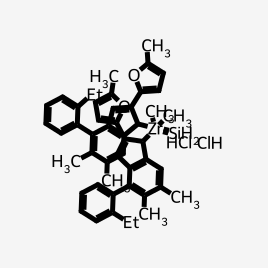 CCc1ccccc1-c1c(C)c(C)cc2c1C=C(c1ccc(C)o1)[CH]2[Zr]([CH3])([CH3])(=[SiH2])[CH]1C(c2ccc(C)o2)=Cc2c1cc(C)c(C)c2-c1ccccc1CC.Cl.Cl